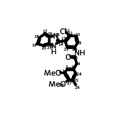 COc1cc(CC(=O)Nc2ccc(Cl)c(-c3nc4ccccc4[nH]3)c2)cc(C)c1OC